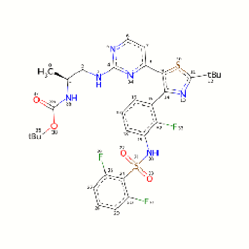 C[C@@H](CNc1nccc(-c2sc(C(C)(C)C)nc2-c2cccc(NS(=O)(=O)c3c(F)cccc3F)c2F)n1)NC(=O)OC(C)(C)C